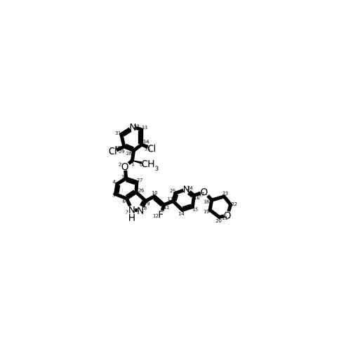 C[C@@H](Oc1ccc2[nH]nc(/C=C(\F)c3ccc(OC4CCOCC4)nc3)c2c1)c1c(Cl)cncc1Cl